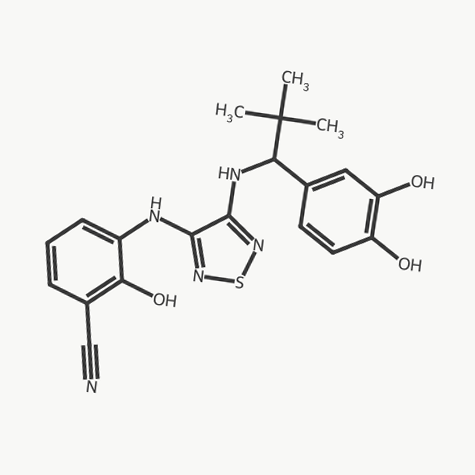 CC(C)(C)C(Nc1nsnc1Nc1cccc(C#N)c1O)c1ccc(O)c(O)c1